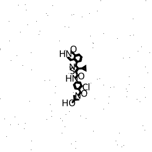 O=C(Nc1ccc(C(=O)N2CC(O)C2)c(Cl)c1)c1snc(-c2cccc3c(=O)[nH]ccc23)c1C1CC1